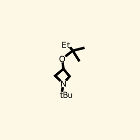 CCC(C)(C)OC1CN(C(C)(C)C)C1